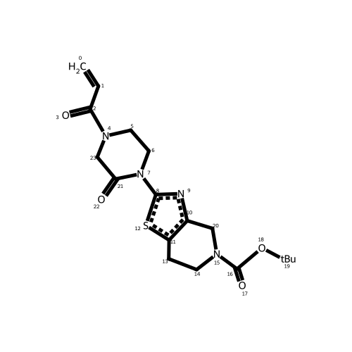 C=CC(=O)N1CCN(c2nc3c(s2)CCN(C(=O)OC(C)(C)C)C3)C(=O)C1